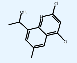 Cc1cc(C(C)O)c2nc(Cl)cc(Cl)c2c1